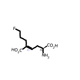 N[C@@H](C/C=C(\CCCF)C(=O)O)C(=O)O